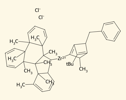 CC1=CC=CC2[CH]([Zr+2][C]3=C4C(C(C)(C)C)=C(C3C)C4Cc3ccccc3)C3(C)C4(C)C=CC=CC4(C)C4(C)C=CC=CC4(C)C3(C)C12C.[Cl-].[Cl-]